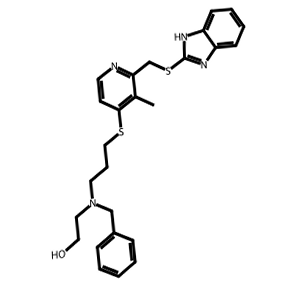 Cc1c(SCCCN(CCO)Cc2ccccc2)ccnc1CSc1nc2ccccc2[nH]1